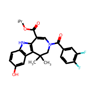 CC(C)OC(=O)C1=CN(C(=O)c2ccc(F)c(F)c2)CC(C)(C)c2c1[nH]c1ccc(O)cc21